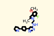 COc1ccc(F)c2c1cc(C)n2CCNc1cc(-c2ccc(-c3ccccn3)cc2)ncn1